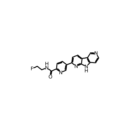 O=C(NCCF)c1ccc(-c2ccc3c(n2)[nH]c2ccncc23)cn1